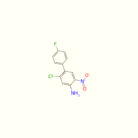 Nc1cc(Cl)c(-c2ccc(F)cc2)cc1[N+](=O)[O-]